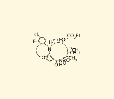 C=C[C@H]1C[C@H](OCC(=O)OCC)[C@@H]2CC[C@H]2CN2Cc3ccc(Cl)c(F)c3CCCCOc3ccc(cc32)C(=O)NS(=O)(=O)[C@H](C)[C@H]1C